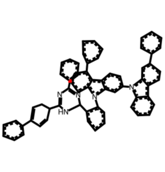 C1=CC(C2=NC(c3ccccc3)=NC(c3ccccc3-n3c4cc(-n5c6ccccc6c6ccc(-c7ccccc7)cc65)ccc4c4c(-c5ccccc5)cccc43)N2)CC=C1c1ccccc1